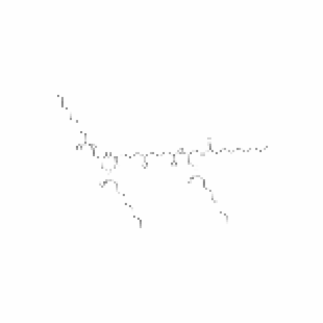 CCCCCCCCC(=O)OCC(COC(=O)CCCCCCCC)OC(=O)CCCC(=O)CCCC(=O)OC(COC(=O)CCCCCCCC)COC(=O)CCCCCCCC